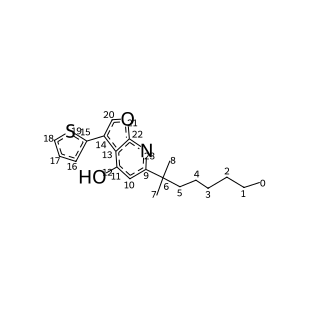 CCCCCCC(C)(C)c1cc(O)c2c(-c3cccs3)coc2n1